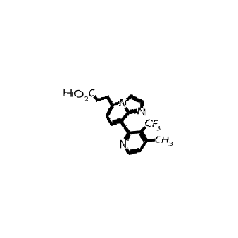 Cc1ccnc(-c2ccc(CCC(=O)O)n3ccnc23)c1C(F)(F)F